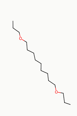 CCCOCCCCCCCCCOCCC